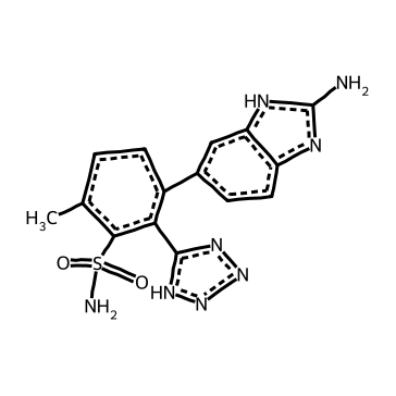 Cc1ccc(-c2ccc3nc(N)[nH]c3c2)c(-c2nnn[nH]2)c1S(N)(=O)=O